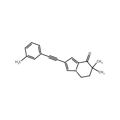 Cc1cccc(C#Cc2cc3n(c2)CCC(C)(C)C3=O)c1